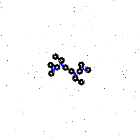 C1=CC(N(c2ccc(-c3ccc(N(c4cccc(-c5ccccc5)c4)c4ccc5c(c4)c4ccccc4n5-c4ccccc4)cc3)cc2)c2cccc(-c3ccccc3)c2)Cc2c1n(-c1ccccc1)c1ccccc21